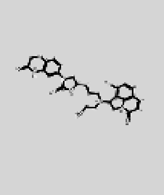 O=C1CSc2ccc(N3C[C@@H](CCCN(CCO)C4Cn5c(=O)ccc6ccc(F)c4c65)OC3=O)cc2N1